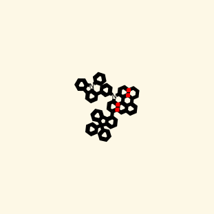 c1ccc(-n2c3ccccc3c3cccc(-c4cccc(N(c5ccc(-c6cccc7c6-c6ccccc6C7(c6ccccc6)c6ccccc6)cc5)c5ccccc5-c5cccc6cccc(C7CCCCC7)c56)c4)c32)cc1